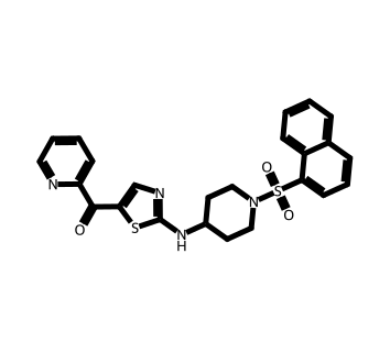 O=C(c1ccccn1)c1cnc(NC2CCN(S(=O)(=O)c3cccc4ccccc34)CC2)s1